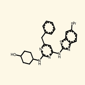 CCCc1ccc2nc(Nc3cc(Cc4ccccc4)nc(NC4CCC(O)CC4)n3)sc2c1